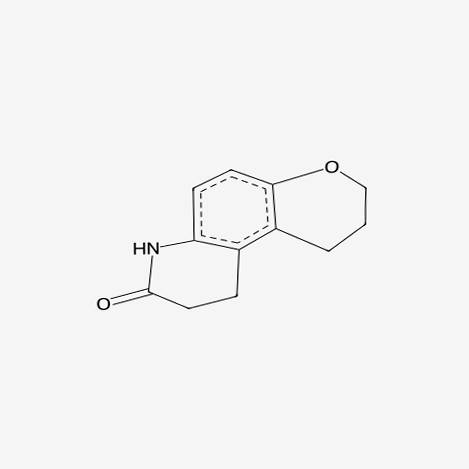 O=C1CCc2c(ccc3c2CCCO3)N1